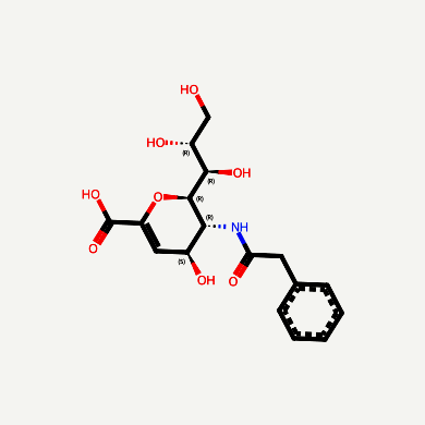 O=C(Cc1ccccc1)N[C@H]1[C@H]([C@H](O)[C@H](O)CO)OC(C(=O)O)=C[C@@H]1O